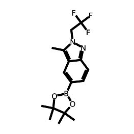 Cc1c2cc(B3OC(C)(C)C(C)(C)O3)ccc2nn1CC(F)(F)F